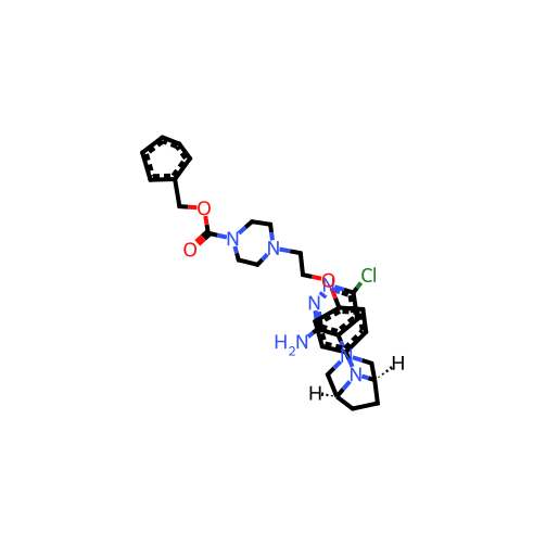 Nc1nnc(Cl)cc1N1C[C@H]2CC[C@@H](C1)N2c1ccc(OCCN2CCN(C(=O)OCc3ccccc3)CC2)cc1